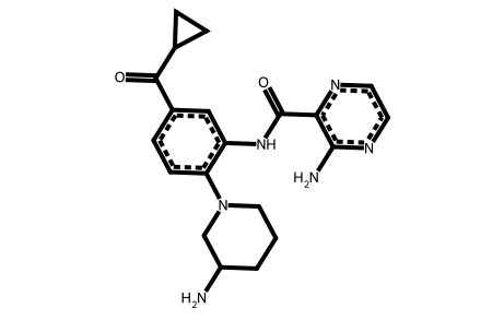 Nc1nccnc1C(=O)Nc1cc(C(=O)C2CC2)ccc1N1CCCC(N)C1